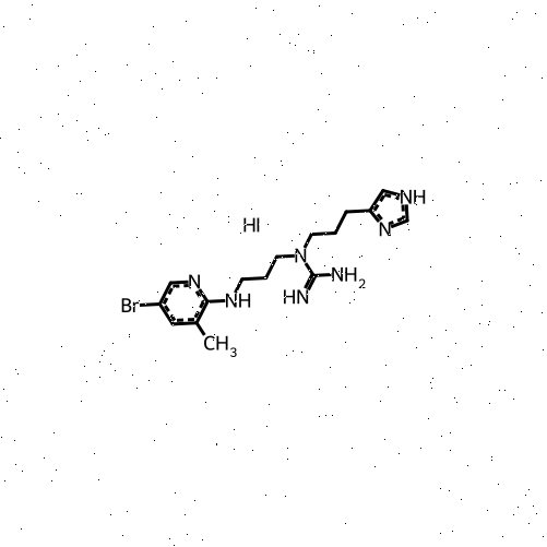 Cc1cc(Br)cnc1NCCCN(CCCc1c[nH]cn1)C(=N)N.I